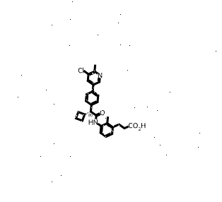 Cc1ncc(-c2ccc([C@H](C(=O)Nc3cccc(CCC(=O)O)c3C)C3CCC3)cc2)cc1Cl